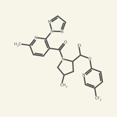 CCC(Oc1ccc(C(F)(F)F)cn1)C1CC(C)CN1C(=O)c1ccc(C)nc1-n1nccn1